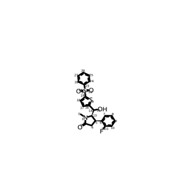 CN1C(=O)C[C@H](c2ccccc2F)[C@@H]1C(O)c1ccc(S(=O)(=O)c2ccccc2)s1